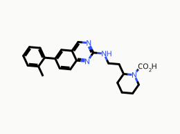 Cc1ccccc1-c1ccc2nc(NCCC3CCCCN3C(=O)O)ncc2c1